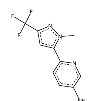 Cn1nc(C(F)(F)F)cc1-c1ccc(N)cn1